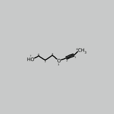 CC#COCCCO